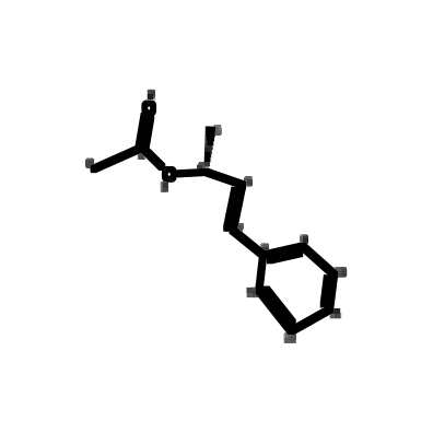 CC(=O)O[C@H](C)C=Cc1ccccc1